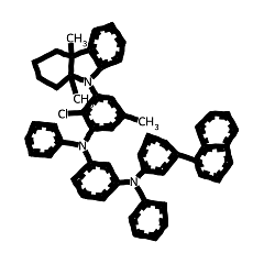 Cc1cc(N(c2ccccc2)c2cccc(N(c3ccccc3)c3cccc(-c4cccc5ccccc45)c3)c2)c(Cl)c(N2c3ccccc3C3(C)CCCCC23C)c1